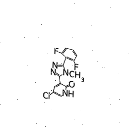 Cn1c(-c2c(F)cccc2F)nnc1-c1cc(Cl)c[nH]c1=O